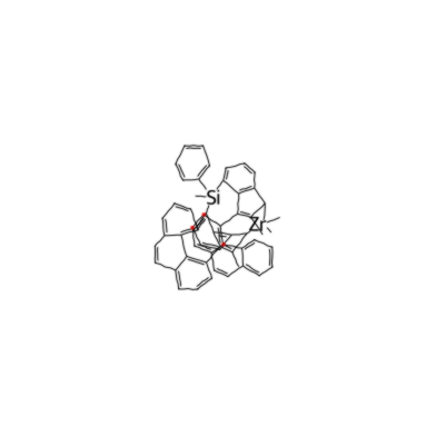 CC1=C(c2cccc3ccc4ccccc4c23)c2c3cccc2[Si](C)(c2ccccc2)c2cccc4c2C(c2cccc5ccc6ccccc6c25)=C(C)[CH]4[Zr]([CH3])([CH3])[CH]13